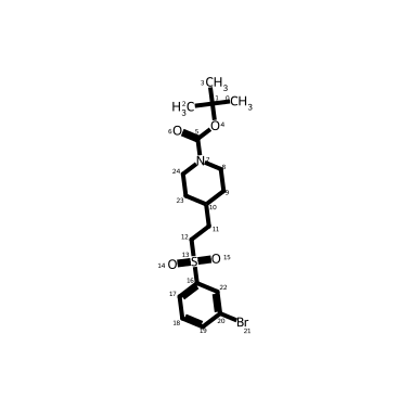 CC(C)(C)OC(=O)N1CCC(CCS(=O)(=O)c2cccc(Br)c2)CC1